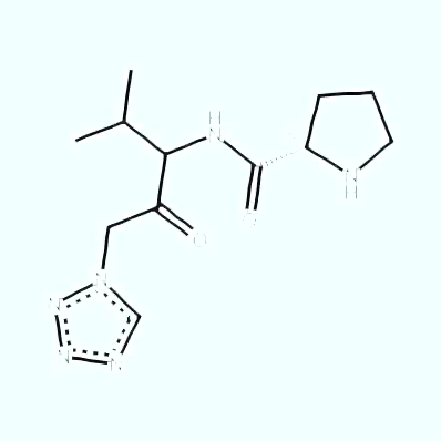 CC(C)C(NC(=O)[C@@H]1CCCN1)C(=O)Cn1cnnn1